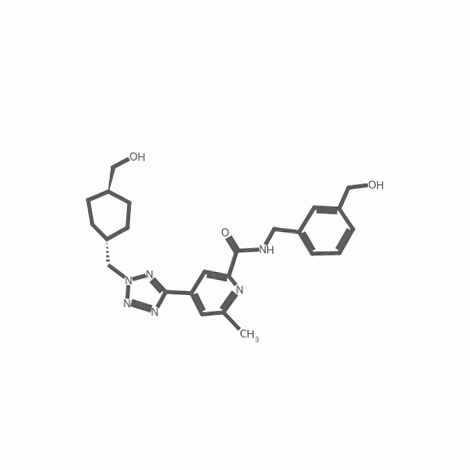 Cc1cc(-c2nnn(C[C@H]3CC[C@H](CO)CC3)n2)cc(C(=O)NCc2cccc(CO)c2)n1